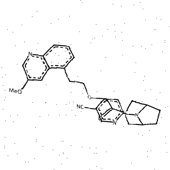 COc1cnc2cccc(CCOCC(=O)N3CC4CCC(C3)N4c3ccc(C#N)cn3)c2c1